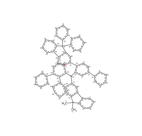 CC1(C)c2ccccc2-c2cc(N(c3cc(-c4ccccc4)ccc3-c3ccc4c(c3)C(c3ccccc3)(c3ccccc3)c3ccccc3-4)c3cccc(-c4ccccc4)c3-c3ccccc3)ccc21